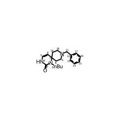 CCCCN1C(=O)NC=CC12CCN(Cc1ccccc1)CC2